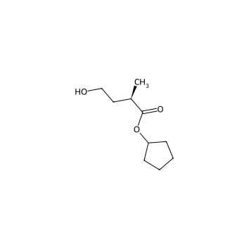 C[C@H](CCO)C(=O)OC1CCCC1